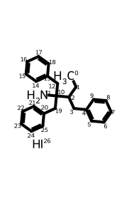 CCC(Cc1ccccc1)C(N)(Cc1ccccc1)Cc1ccccc1.I